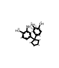 Nc1cc(C2(c3ccc(O)c(N)c3)CCCC2)ccc1O